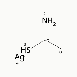 CC(N)S.[Ag]